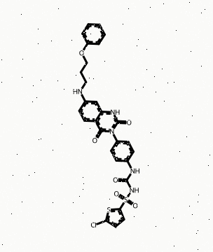 O=C(Nc1ccc(-n2c(=O)[nH]c3cc(NCCCOc4ccccc4)ccc3c2=O)cc1)NS(=O)(=O)c1ccc(Cl)s1